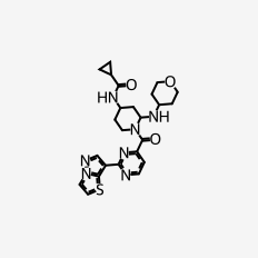 O=C(NC1CCN(C(=O)c2ccnc(-c3cnn4ccsc34)n2)C(NC2CCOCC2)C1)C1CC1